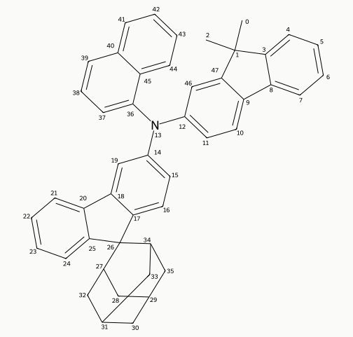 CC1(C)c2ccccc2-c2ccc(N(c3ccc4c(c3)-c3ccccc3C43C4CC5CC(C4)CC3C5)c3cccc4ccccc34)cc21